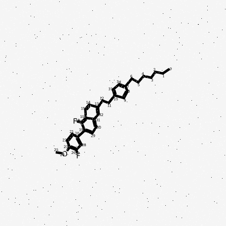 CCCCCCCc1ccc(CCc2ccc3c(F)c(-c4ccc(OC)c(F)c4)ccc3c2)cc1